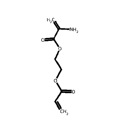 C=CC(=O)OCCOC(=O)C(=C)N